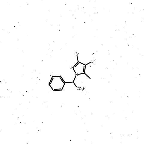 Cc1c(Br)c(Br)nn1C(C(=O)O)c1ccccc1